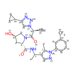 Cc1c(C(C)NC(=O)[C@@H]2C[C@@H](O)CN2C(=O)[C@@H](n2cc(C3CC3)nn2)C(C)(C)C)cnn1-c1cccc(C(F)(F)F)c1